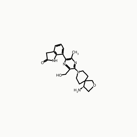 Cc1nc(N2CCC3(CC2)COC[C@H]3N)c(CO)nc1-c1cccc2c1NC(=O)C2